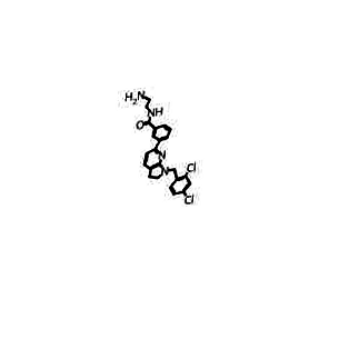 NCCNC(=O)c1cccc(-c2ccc3c(n2)N(Cc2ccc(Cl)cc2Cl)CC3)c1